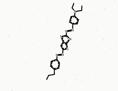 CCCc1ccc(N=Nc2cc3sc(N=Nc4ccc(N(CC)CC)cc4)nc3s2)cc1